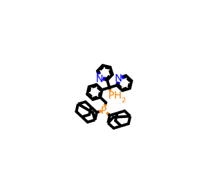 PC(c1ccccn1)(c1ccccn1)c1ccccc1CP(C1C2CC3CC(C2)CC1C3)C1C2CC3CC(C2)CC1C3